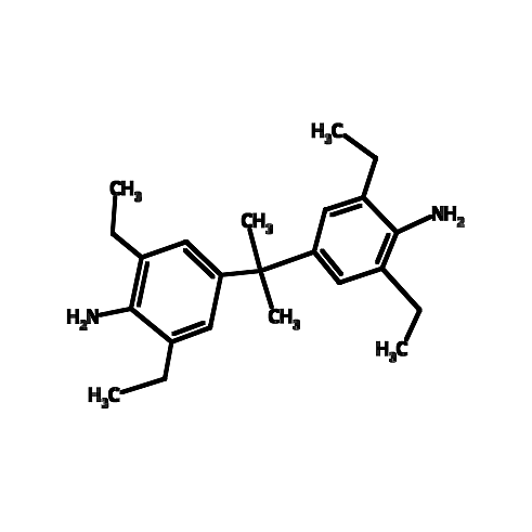 CCc1cc(C(C)(C)c2cc(CC)c(N)c(CC)c2)cc(CC)c1N